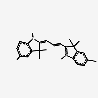 Cc1ccc2c(c1)C(C)(C)C(/C=C/C=C1/N(C)c3ccc(C)cc3C1(C)C)=[N+]2C